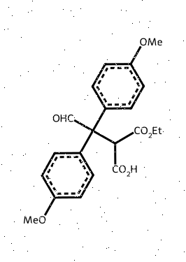 CCOC(=O)C(C(=O)O)C(C=O)(c1ccc(OC)cc1)c1ccc(OC)cc1